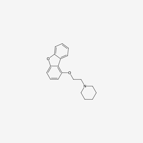 c1ccc2c(c1)oc1cccc(OCCN3CCCCC3)c12